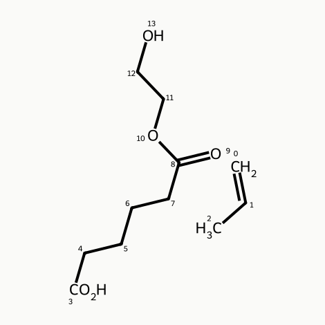 C=CC.O=C(O)CCCCC(=O)OCCO